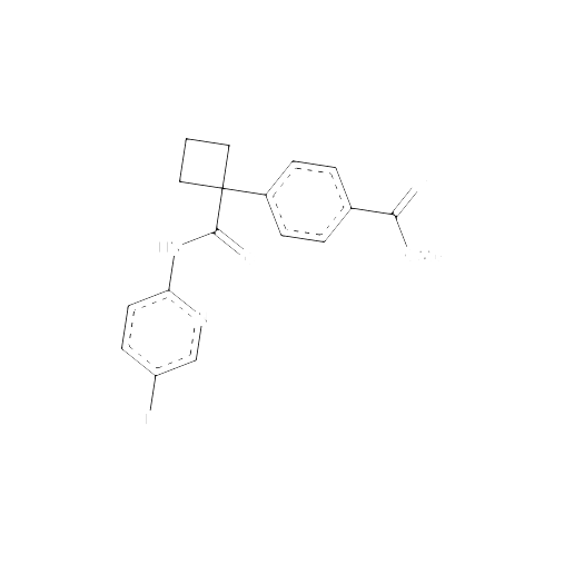 COC(=O)c1ccc(C2(C(=O)Nc3ccc(F)cn3)CCC2)cc1